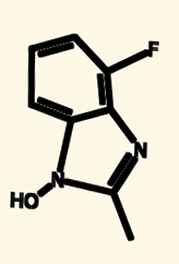 Cc1nc2c(F)cccc2n1O